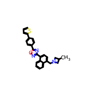 CC1CN(Cc2ccc(-c3noc(-c4ccc(-c5cccs5)cc4)n3)c3ccccc23)C1